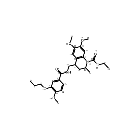 CCCOc1cc(C(=O)NCC2CC(C)N(C(=O)OCC)c3cc(OC)c(OC)cc32)ccc1OC